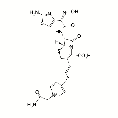 NC(=O)C[n+]1ccc(S/C=C/C2=C(C(=O)O)N3C(=O)[C@@H](NC(=O)/C(=N\O)c4csc(N)n4)[C@H]3SC2)cc1